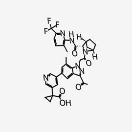 CC(=O)c1nn(CC(=O)N2[C@H]3CC[C@H](C3)[C@H]2C(=O)Nc2nc(C(F)(F)F)ccc2C)c2c(C)cc(-c3cncc(C4(C(=O)O)CC4)c3)cc12